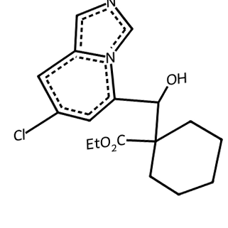 CCOC(=O)C1(C(O)c2cc(Cl)cc3cncn23)CCCCC1